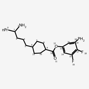 CCCC(N)CCCC1CCC(C(=O)Oc2cc(F)c(F)c(P)c2)CC1